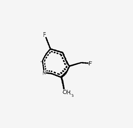 Cc1n[c]c(F)cc1F